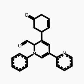 O=CC1C(C2C=CCC(=O)C2)=CC(c2ccccn2)=CN1c1ccccc1